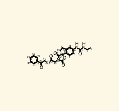 CCNC(=O)Nc1ccc2c(c1)CC[C@@]21OC(=O)N(CC(=O)OCC(=O)c2ccccc2)C1=O